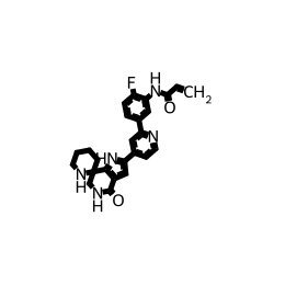 C=CC(=O)Nc1cc(-c2cc(-c3cc4c([nH]3)C3(CCCCN3)CNC4=O)ccn2)ccc1F